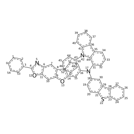 c1ccc(-c2nc3cc4c(cc3o2)oc2cc(N(c3ccc5sc6ccccc6c5c3)c3cccc5c6ccccc6n(-c6ccccc6)c35)ccc24)cc1